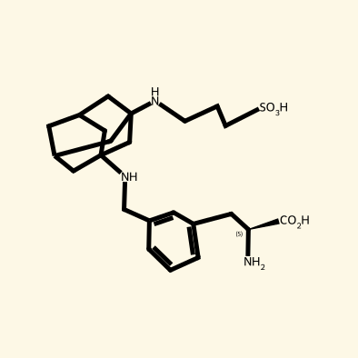 N[C@@H](Cc1cccc(CNC23CC4CC(CC(NCCCS(=O)(=O)O)(C4)C2)C3)c1)C(=O)O